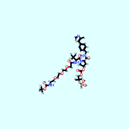 Cc1ncsc1-c1ccc(CNC(=O)[C@@H]2C[C@@H](OC(=O)OCC(C)(C)SS(C)(=O)=O)CN2C(=O)[C@@H](NC(=O)COCCOCCOCCNC(=O)OC(C)(C)C)C(C)(C)C)cc1